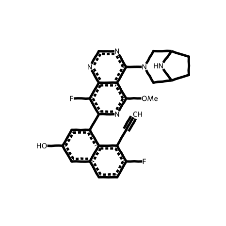 C#Cc1c(F)ccc2cc(O)cc(-c3nc(OC)c4c(N5CC6CCC(C5)N6)ncnc4c3F)c12